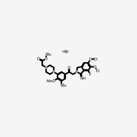 Br.CCOc1cc2c(c(F)c1OCC)C(=N)N(CC(=O)c1cc(N3CCN(CC(=O)OC(C)(C)C)CC3)c(OC)c(C(C)(C)C)c1)C2